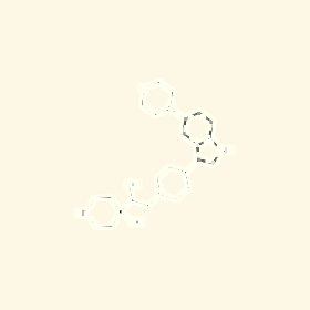 OC(CN1CCC(c2c[nH]c3ccc(N4CCOCC4)cc23)CC1)C1(O)CCNCC1